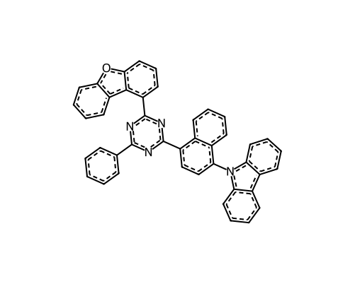 c1ccc(-c2nc(-c3ccc(-n4c5ccccc5c5ccccc54)c4ccccc34)nc(-c3cccc4oc5ccccc5c34)n2)cc1